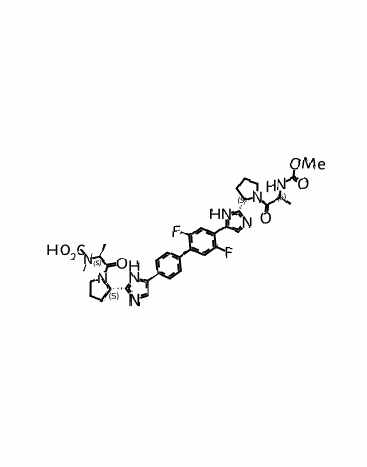 COC(=O)N[C@@H](C)C(=O)N1CCC[C@H]1c1ncc(-c2cc(F)c(-c3ccc(-c4cnc([C@@H]5CCCN5C(=O)[C@H](C)N(C)C(=O)O)[nH]4)cc3)cc2F)[nH]1